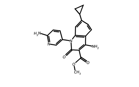 COC(=O)c1c(N)c2ccc(C3CC3)cc2n(-c2ccc(N)nc2)c1=O